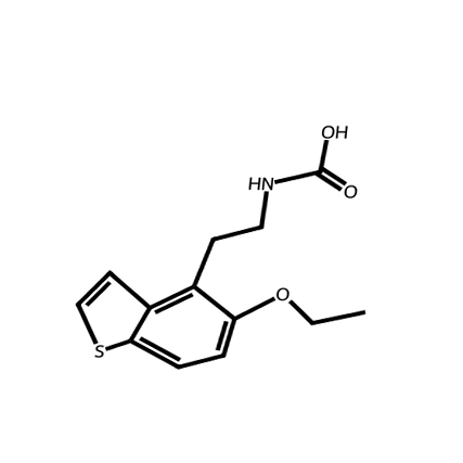 CCOc1ccc2sccc2c1CCNC(=O)O